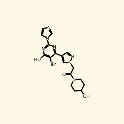 CC(C)c1c(O)nc(-n2ccnc2)nc1-c1cnn(CC(=O)N2CCC(O)CC2)c1